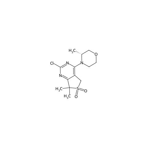 C[C@@H]1COCCN1c1nc(Cl)nc2c1CS(=O)(=O)C2(C)C